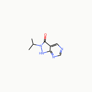 CC(C)n1[nH]c2ncncc2c1=O